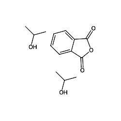 CC(C)O.CC(C)O.O=C1OC(=O)c2ccccc21